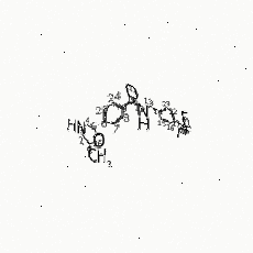 C[C@@H]1CNC[C@H](c2ccc(C(=O)NCc3ccc(C(F)(F)F)cc3)cc2)O1